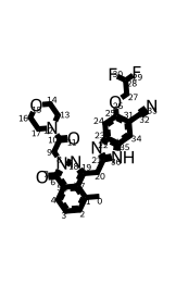 Cc1cccc2c(=O)n(CC(=O)N3CCOCC3)nc(Cc3nc4cc(OCC(F)F)c(C#N)cc4[nH]3)c12